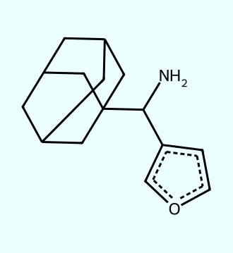 NC(c1ccoc1)C12CC3CC(CC(C3)C1)C2